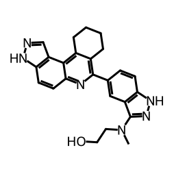 CN(CCO)c1n[nH]c2ccc(-c3nc4ccc5[nH]ncc5c4c4c3CCCC4)cc12